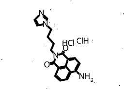 Cl.Cl.Nc1ccc2c3c(cccc13)C(=O)N(CCCCn1ccnc1)C2=O